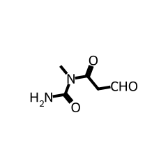 CN(C(N)=O)C(=O)CC=O